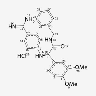 COc1ccc([C@@H](Nc2ccc(C(=N)N)cc2)C(=O)NCc2ccccc2)cc1OC.Cl